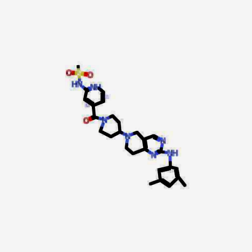 C/C=C\C(=C/C(=N)NS(C)(=O)=O)C(=O)N1CCC(N2CCc3nc(Nc4cc(C)cc(C)c4)ncc3C2)CC1